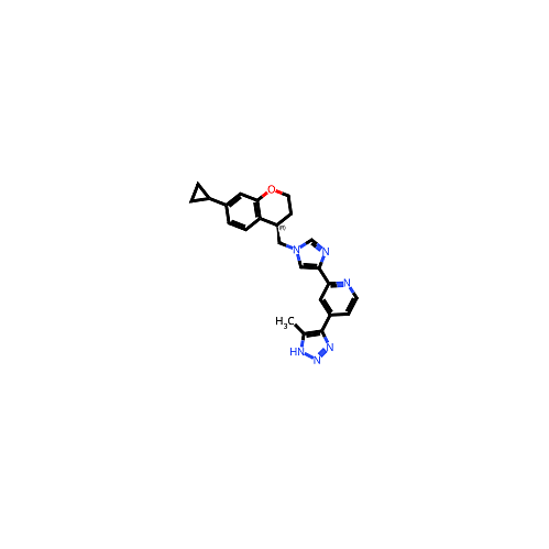 Cc1[nH]nnc1-c1ccnc(-c2cn(C[C@@H]3CCOc4cc(C5CC5)ccc43)cn2)c1